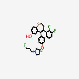 Oc1ccc2c(c1)C(c1ccc(O[C@H]3CCN(CCCF)C3)cc1)=C(c1cccc(F)c1Cl)CCS2